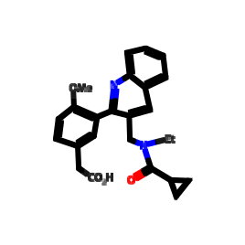 CCN(Cc1cc2ccccc2nc1-c1cc(CC(=O)O)ccc1OC)C(=O)C1CC1